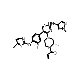 C=CC(=O)N1CCN(c2nc(Nc3cnn(C)c3)ncc2-c2ccc(Oc3nccc(C)n3)c(F)c2)C[C@@H]1C